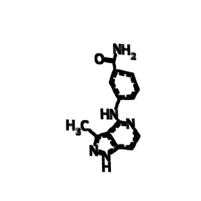 Cc1n[nH]c2ccnc(Nc3cccc(C(N)=O)c3)c12